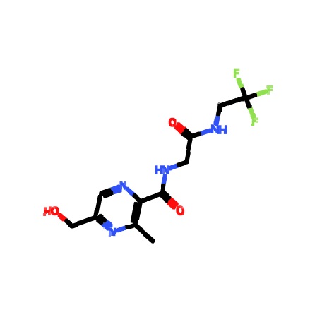 Cc1nc(CO)cnc1C(=O)NCC(=O)NCC(F)(F)F